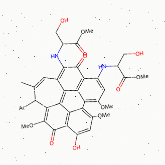 COC(=O)C(CO)Nc1c2c3c4c(c(OC)c(=O)c5c(O)cc(OC)c(c6c(OC)cc(NC(CO)C(=O)OC)c(c1=O)c63)c54)C(C(C)=O)C(C)=C2